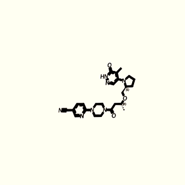 Cc1c(N2CCC[C@H]2CO[C@H](C)CC(=O)N2CCN(c3ccc(C#N)cn3)CC2)cn[nH]c1=O